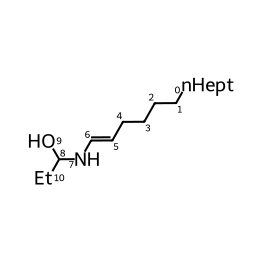 CCCCCCCCCCCC=CNC(O)CC